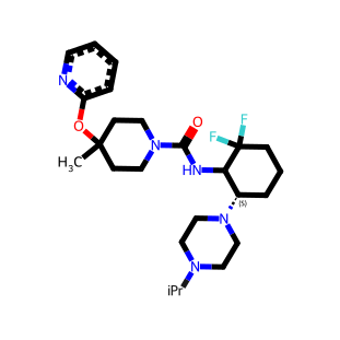 CC(C)N1CCN([C@H]2CCCC(F)(F)C2NC(=O)N2CCC(C)(Oc3ccccn3)CC2)CC1